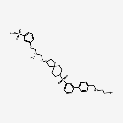 CNS(=O)(=O)c1cccc(OC[C@@H](O)CN[C@H]2COC3(CCN(S(=O)(=O)c4cccc(-c5ccc(CNCCC(C)C)cc5)c4)CC3)C2)c1